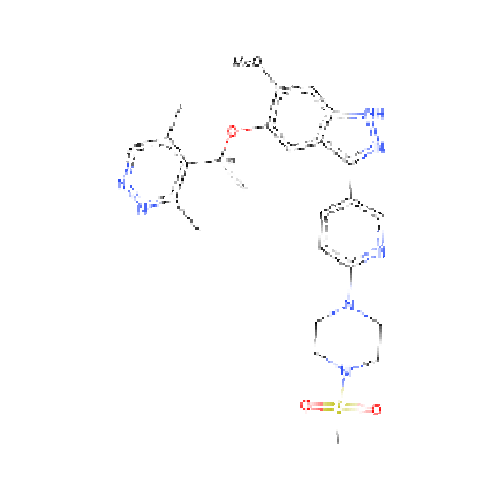 COc1cc2[nH]nc(-c3ccc(N4CCN(S(C)(=O)=O)CC4)nc3)c2cc1O[C@H](C)c1c(C)cnnc1C